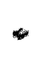 [2H]CC(C)(C)OC(=O)N1CCOC(C(=O)N(Cc2cn(CCCOC)c3nccc(O)c23)C2CC2)C1